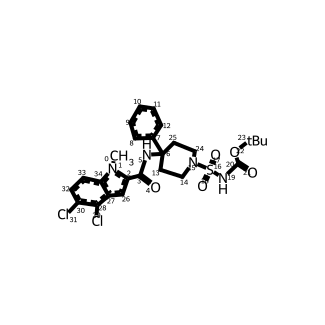 Cn1c(C(=O)NC2(c3ccccc3)CCN(S(=O)(=O)NC(=O)OC(C)(C)C)CC2)cc2c(Cl)c(Cl)ccc21